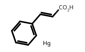 O=C(O)C=Cc1ccccc1.[Hg]